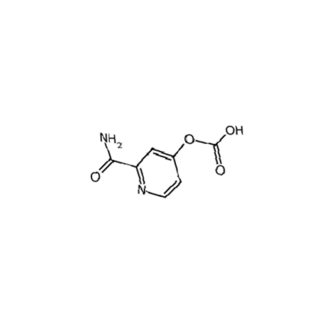 NC(=O)c1cc(OC(=O)O)ccn1